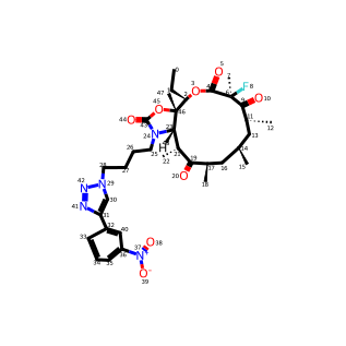 CC[C@H]1OC(=O)[C@@](C)(F)C(=O)[C@H](C)C[C@@H](C)C[C@@H](C)C(=O)[C@H](C)[C@@H]2N(CCCCn3cc(-c4cccc([N+](=O)[O-])c4)nn3)C(=O)O[C@@]21C